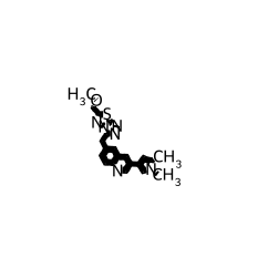 COCc1nn2c(Cc3ccc4ncc(-c5cc(C)n(C)c5)cc4c3)nnc2s1